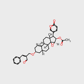 CC(=O)O[C@H]1[C@H]2O[C@]23[C@@H]2CC[C@@H]4C[C@@H](OC/C(C=O)=C/c5ccccc5)CC[C@]4(C)[C@H]2CC[C@]3(C)[C@H]1c1ccc(=O)oc1